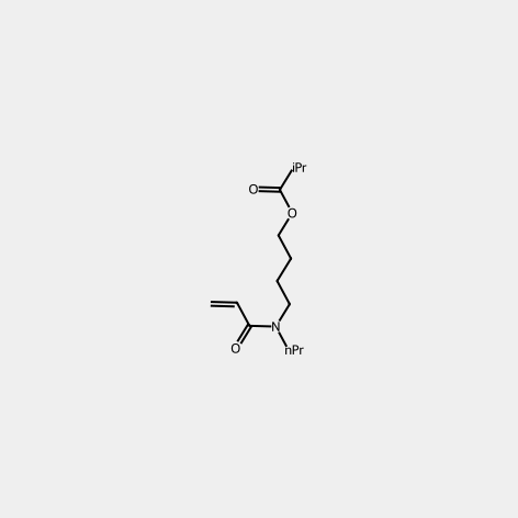 C=CC(=O)N(CCC)CCCCOC(=O)C(C)C